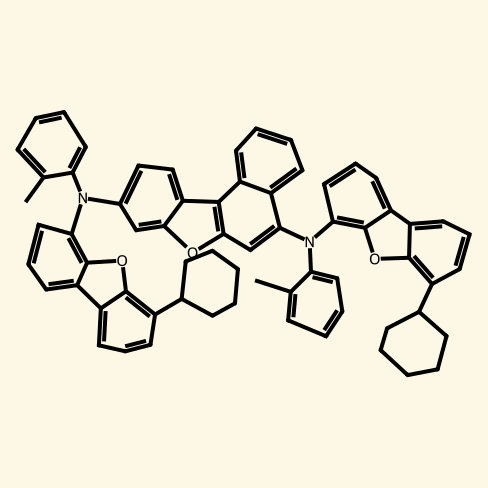 Cc1ccccc1N(c1ccc2c(c1)oc1cc(N(c3ccccc3C)c3cccc4c3oc3c(C5CCCCC5)cccc34)c3ccccc3c12)c1cccc2c1oc1c(C3CCCCC3)cccc12